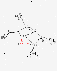 CC1=C2CC(C)(OC1CC(C)C)C2C